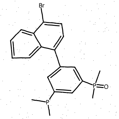 CP(C)c1cc(-c2ccc(Br)c3ccccc23)cc(P(C)(C)=O)c1